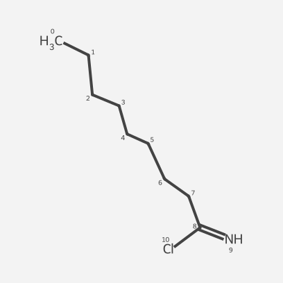 CCCCCCCCC(=N)Cl